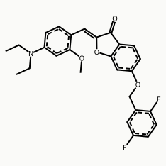 CCN(CC)c1ccc(/C=C2\Oc3cc(OCc4cc(F)ccc4F)ccc3C2=O)c(OC)c1